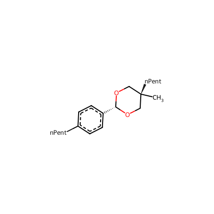 CCCCCc1ccc([C@H]2OC[C@](C)(CCCCC)CO2)cc1